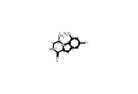 Cc1cc(F)cc2cc3n(c12)[C@H](C)CNC3=O